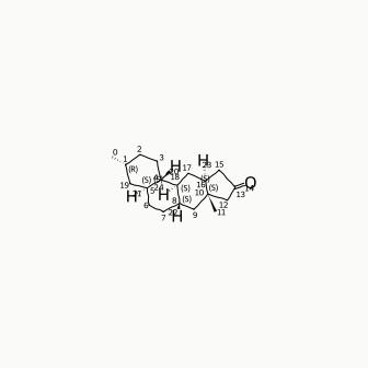 C[C@@H]1CC[C@H]2[C@@H](CC[C@H]3C[C@@]4(C)CC(=O)C[C@@H]4C[C@@H]32)C1